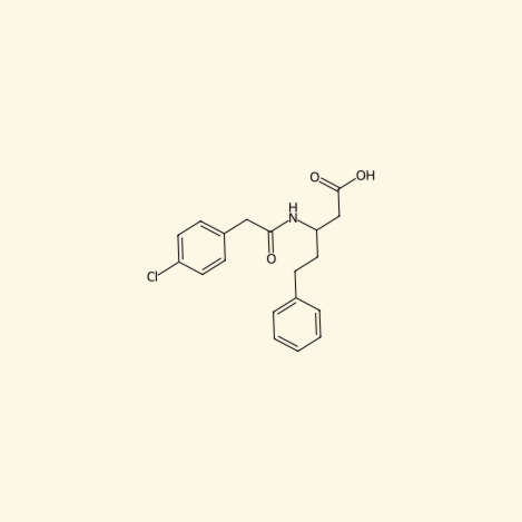 O=C(O)CC(CCc1ccccc1)NC(=O)Cc1ccc(Cl)cc1